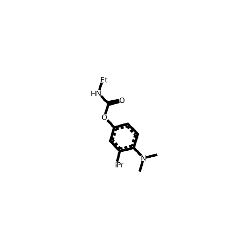 CCNC(=O)Oc1ccc(N(C)C)c(C(C)C)c1